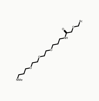 CNCCCOCCOCCOCCCNC(=O)COCC(C)=O